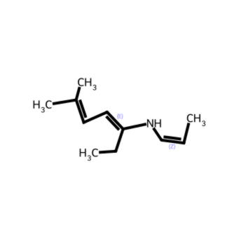 C/C=C\N/C(=C/C=C(C)C)CC